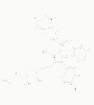 CC(C)n1c(/C=C/C(O)CC(O)CC(=O)O)c(-c2ccc(F)cc2)c(-c2ccccc2)c1C(=O)NCc1ncccn1